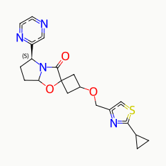 O=C1N2C(CC[C@H]2c2cnccn2)OC12CC(OCc1csc(C3CC3)n1)C2